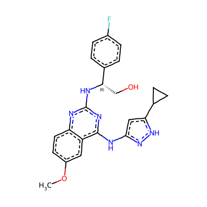 COc1ccc2nc(N[C@@H](CO)c3ccc(F)cc3)nc(Nc3cc(C4CC4)[nH]n3)c2c1